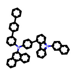 c1ccc(-c2ccc(-c3cccc(N(c4ccc(-c5cccc6c5c5ccccc5n6-c5ccc6ccccc6c5)cc4)c4cc5ccccc5c5ccccc45)c3)cc2)cc1